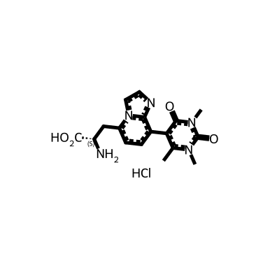 Cc1c(-c2ccc(C[C@H](N)C(=O)O)n3ccnc23)c(=O)n(C)c(=O)n1C.Cl